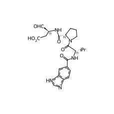 CC(C)[C@H](NC(=O)c1ccc2nc[nH]c2c1)C(=O)N1CCC[C@H]1C(=O)N[C@H](C=O)CC(=O)O